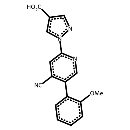 COc1ccccc1-c1cnc(-n2cc(C(=O)O)cn2)cc1C#N